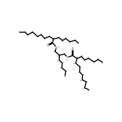 CCCCCCCCC(CCCCCC)C(=O)OCC(CCCCC)COC(=O)C(CCCCCC)CCCCCCCC